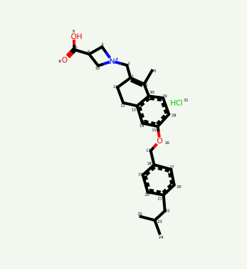 CC1=C(CN2CC(C(=O)O)C2)CCc2cc(OCc3ccc(CC(C)C)cc3)ccc21.Cl